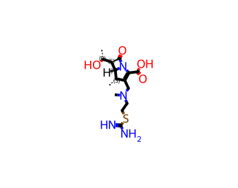 C[C@@H](O)[C@H]1C(=O)N2C(C(=O)O)=C(CN(C)CCSC(=N)N)[C@H](C)[C@H]12